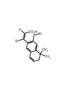 CCOc1cc2c(cc1/C(CC)=C(/F)C(=O)O)C=CCC2(C)C